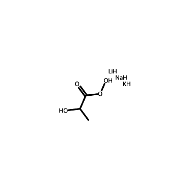 CC(O)C(=O)OO.[KH].[LiH].[NaH]